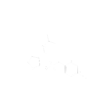 CC(C)NC[C@H]1CNC[C@H]1NS(=O)(=O)Cc1ccc(F)cc1